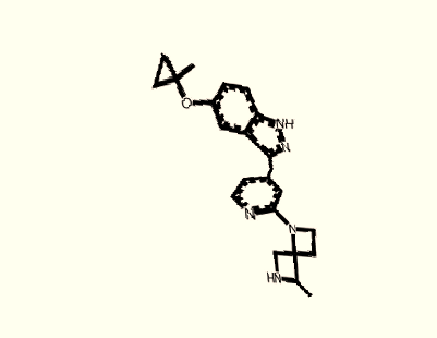 CC1NCC12CCN2c1cc(-c2n[nH]c3ccc(OC4(C)CC4)cc23)ccn1